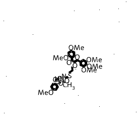 COc1ccc(S(=O)(=O)OC2(C)NN=C(SCCCOc3c(-c4cc(OC)c(OC)c(OC)c4)oc4cc(OC)cc(OC)c4c3=O)O2)cc1